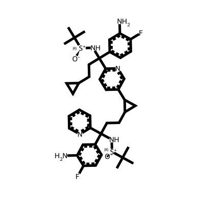 CC(C)(C)[S@+]([O-])NC(CCC1CC1)(c1ccc(F)c(N)c1)c1ccc(C2CC2CCC(N[S@@+]([O-])C(C)(C)C)(c2ccc(F)c(N)c2)c2ccccn2)cn1